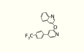 FC(F)(F)c1ccc(-c2ccnc(Oc3cnc4ccccc4c3)c2)cc1